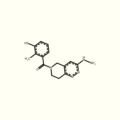 Cc1c(S)cccc1C(=O)N1CCc2nnc(NN)cc2C1